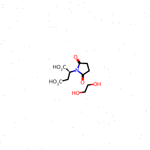 O=C(O)C[C@@H](C(=O)O)N1C(=O)CCC1=O.OCCO